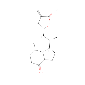 C=C1C[C@H](C[C@@H](C)[C@H]2CCC3C(=O)CC[C@@H](C)C32)OC1=O